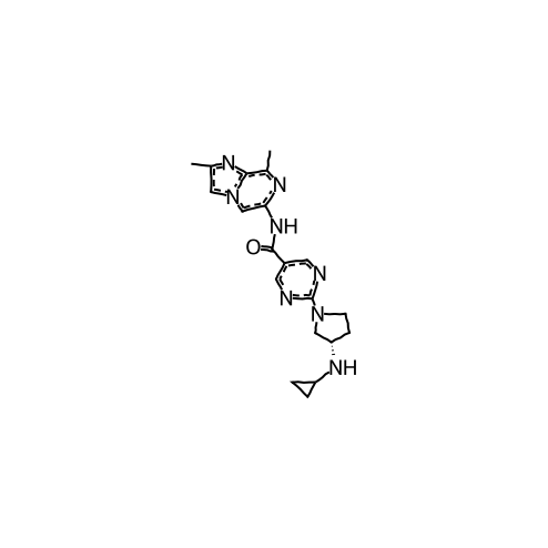 Cc1cn2cc(NC(=O)c3cnc(N4CC[C@H](NC5CC5)C4)nc3)nc(C)c2n1